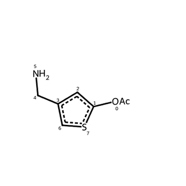 CC(=O)Oc1cc(CN)cs1